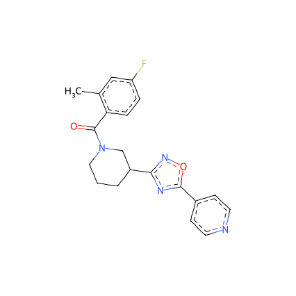 Cc1cc(F)ccc1C(=O)N1CCCC(c2noc(-c3ccncc3)n2)C1